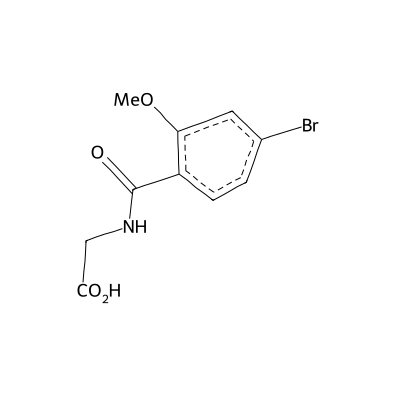 COc1cc(Br)ccc1C(=O)NCC(=O)O